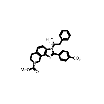 COC(=O)N1CCc2ccc3c(nc(-c4ccc(C(=O)O)cc4)n3[C@@H](C)Cc3ccccc3)c2C1